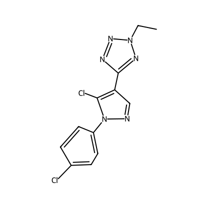 CCn1nnc(-c2cnn(-c3ccc(Cl)cc3)c2Cl)n1